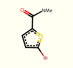 CNC(=O)c1ccc(Br)s1